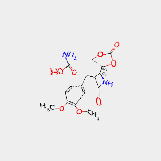 COc1ccc(CC2C(=O)N[C@@H]2[C@@H]2COC(=O)O2)cc1OC.NC(=O)O